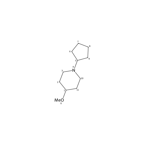 COC1CCN(C2CCCC2)CC1